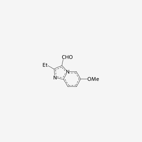 CCc1nc2ccc(OC)cn2c1C=O